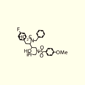 COc1ccc(S(=O)(=O)N(CC(C)C)C[C@@H](O)C(Cc2ccc(F)cc2)N(Cc2ccccc2)C(=O)O)cc1